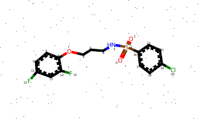 O=S(=O)(NCCCOc1ccc(F)cc1F)c1ccc(Cl)cc1